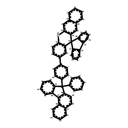 c1ccc(C2(c3ccc(-c4ccc5c(c4)C4(c6cc7ccccc7cc6O5)c5ccccc5-c5ccccc54)cc3)c3ccccc3-c3c2ccc2ccccc32)cc1